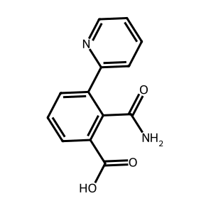 NC(=O)c1c(C(=O)O)cccc1-c1ccccn1